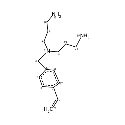 C=Cc1ccc(CN(CCCN)CCCN)cc1